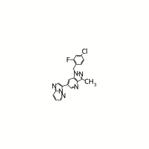 Cc1nn(Cc2ccc(Cl)cc2F)c2cc(-c3cnc4cccnn34)cnc12